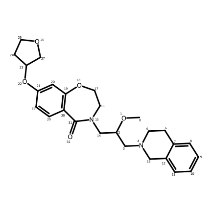 COC(CN1CCc2ccccc2C1)CN1CCOc2cc(OC3CCOC3)ccc2C1=O